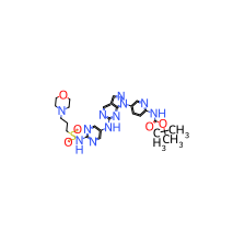 CC(C)(C)OC(=O)Nc1ccc(-n2ncc3cnc(Nc4cnc(NS(=O)(=O)CCCN5CCOCC5)nc4)nc32)cn1